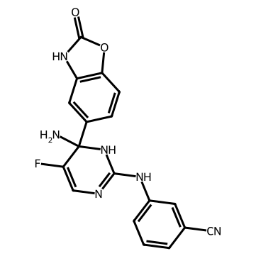 N#Cc1cccc(NC2=NC=C(F)C(N)(c3ccc4oc(=O)[nH]c4c3)N2)c1